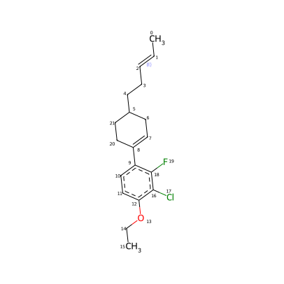 C/C=C/CCC1CC=C(c2ccc(OCC)c(Cl)c2F)CC1